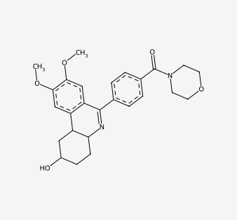 COc1cc2c(cc1OC)C1CC(O)CCC1N=C2c1ccc(C(=O)N2CCOCC2)cc1